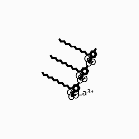 CCCCCCCCCCCCc1cc(C)ccc1S(=O)(=O)[O-].CCCCCCCCCCCCc1cc(C)ccc1S(=O)(=O)[O-].CCCCCCCCCCCCc1cc(C)ccc1S(=O)(=O)[O-].[La+3]